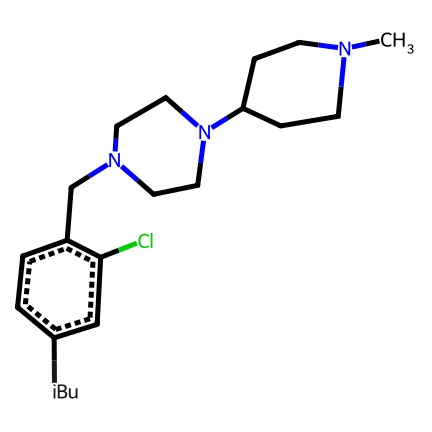 CCC(C)c1ccc(CN2CCN(C3CCN(C)CC3)CC2)c(Cl)c1